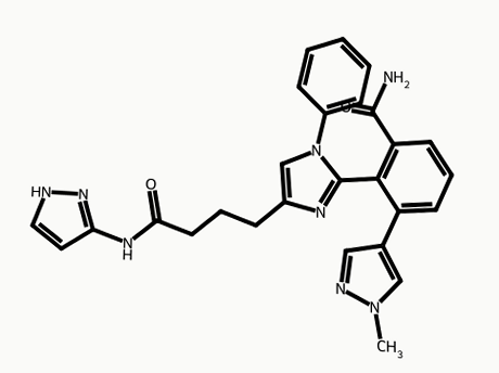 Cn1cc(-c2cccc(C(N)=O)c2-c2nc(CCCC(=O)Nc3cc[nH]n3)cn2-c2ccccc2)cn1